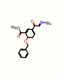 COC(=O)C1=CC(C(=O)/C=N/C(C)(C)C)=CCC1OCc1ccccc1